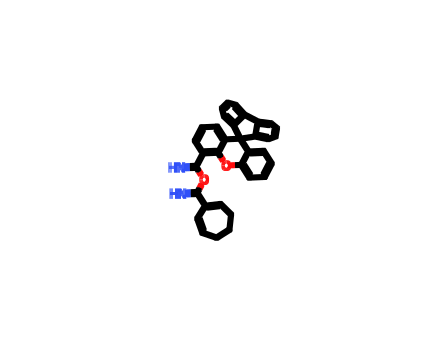 N=C(OC(=N)c1cccc2c1Oc1ccccc1C21c2ccccc2-c2ccccc21)C1=CCCCC=C1